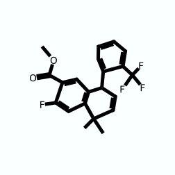 COC(=O)c1cc2c(cc1F)C(C)(C)C=CC2c1ccccc1C(F)(F)F